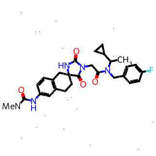 CNC(=O)Nc1ccc2c(c1)CCC1(C2)NC(=O)N(CC(=O)N(Cc2ccc(F)cc2)C(C)C2CC2)C1=O